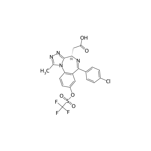 Cc1nnc2n1-c1ccc(OS(=O)(=O)C(F)(F)F)cc1C(c1ccc(Cl)cc1)=N[C@H]2CC(=O)O